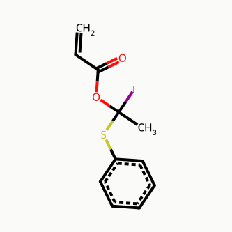 C=CC(=O)OC(C)(I)Sc1ccccc1